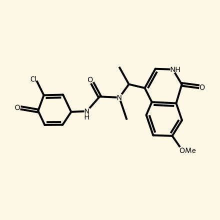 COc1ccc2c(C(C)N(C)C(=O)NC3C=CC(=O)C(Cl)=C3)c[nH]c(=O)c2c1